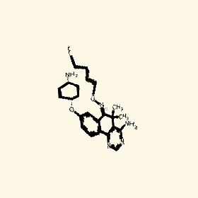 CC1(C)/C(=N/OCCCCF)c2cc(O[C@H]3CC[C@@H](N)CC3)ccc2-c2ncnc(N)c21